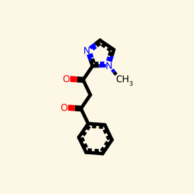 Cn1ccnc1C(=O)CC(=O)c1ccccc1